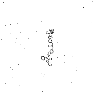 O=C(NO)c1cc2ccc(CNCc3ccc(CN[C@H](C(=O)OC4CCCC4)c4ccccc4)cc3)cc2s1